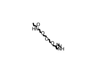 CCC(=O)NCCOCCOCCOCc1c[nH]nn1